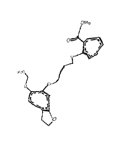 COCOc1cc2c(cc1OCCCOc1ccccc1C(=O)OC)OCC2